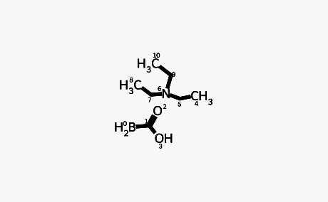 BC(=O)O.CCN(CC)CC